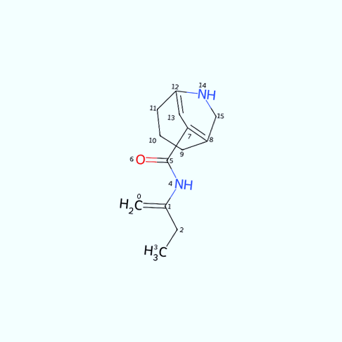 C=C(CC)NC(=O)C1=C2CCCC(=C1)NC2